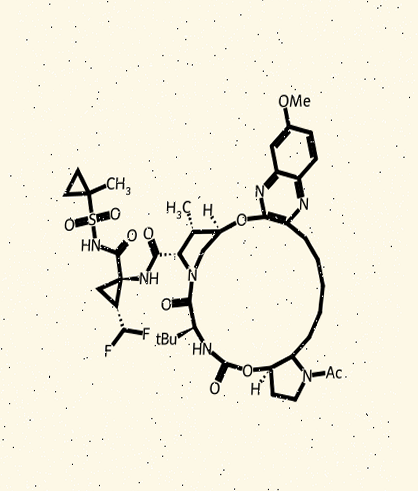 COc1ccc2nc3c(nc2c1)O[C@H]1CN(C(=O)[C@H](C(C)(C)C)NC(=O)O[C@@H]2CCN(C(C)=O)C2CCCCC3)[C@H](C(=O)N[C@]2(C(=O)NS(=O)(=O)C3(C)CC3)C[C@H]2C(F)F)[C@@H]1C